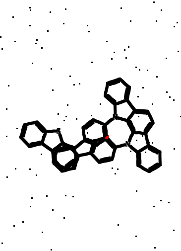 c1ccc(-c2ccc(-n3c4ccccc4c4ccc5c6ccccc6n(-c6ccc(-c7cccc8c7sc7ccccc78)cc6)c5c43)cc2)cc1